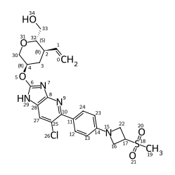 C=C[C@H]1C[C@@H](Oc2nc3nc(-c4ccc(N5CC(S(C)(=O)=O)C5)cc4)c(Cl)cc3[nH]2)CO[C@@H]1CO